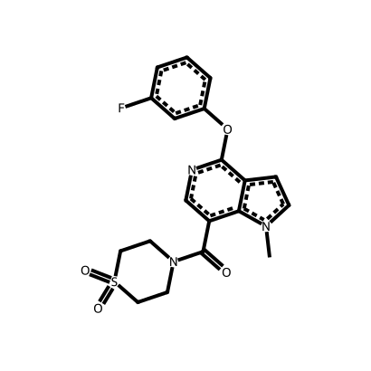 Cn1ccc2c(Oc3cccc(F)c3)ncc(C(=O)N3CCS(=O)(=O)CC3)c21